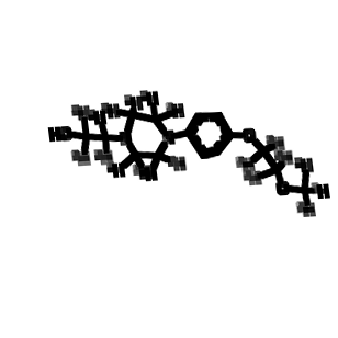 [2H]C([2H])([2H])OC([2H])([2H])C([2H])([2H])Oc1ccc(N2C([2H])([2H])C([2H])([2H])N(C([2H])([2H])C([2H])([2H])O)C([2H])([2H])C2([2H])[2H])cc1